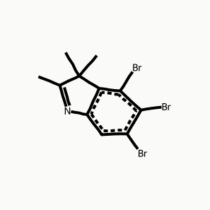 CC1=Nc2cc(Br)c(Br)c(Br)c2C1(C)C